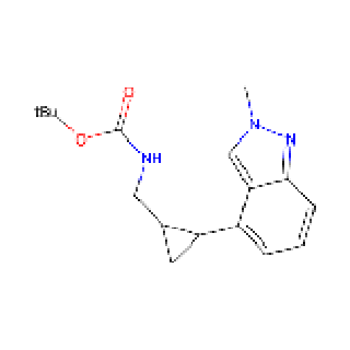 Cn1cc2c(C3CC3CNC(=O)OC(C)(C)C)cccc2n1